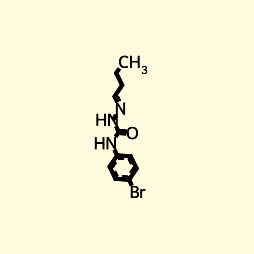 CCC/C=N/NC(=O)Nc1ccc(Br)cc1